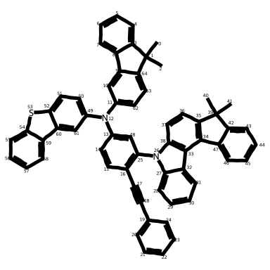 CC1(C)c2ccccc2-c2cc(N(c3ccc(C#Cc4ccccc4)c(-n4c5ccccc5c5c6c(ccc54)C(C)(C)c4ccccc4-6)c3)c3ccc4sc5ccccc5c4c3)ccc21